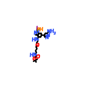 CC(C)(C)OC(=O)NCCCCOCCNc1cc(-c2cnnc(N)c2)cc2c1cnn2PI